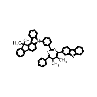 CC1=C(c2ccc3c(c2)sc2ccccc23)N=C(c2cccc(-n3c4ccccc4c4c5c(ccc43)-c3ccccc3C5(C)C)c2)N=C(c2ccccc2)C1C